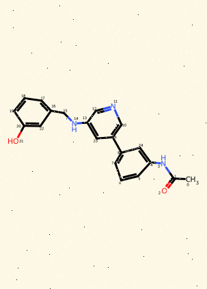 CC(=O)Nc1cccc(-c2cncc(NCc3cccc(O)c3)c2)c1